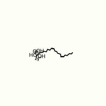 CCCCC/C=C\CCCC/C=C\CCCCCCC(O)(C[N+](C)(C)C)P(=O)(O)O